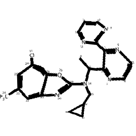 CC(c1nccnc1-c1ncccn1)N(CC1CC1)c1nc2cc(C(F)(F)F)cc(Cl)c2o1